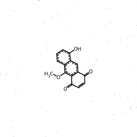 COc1c2c(cc3c(O)cccc13)C(=O)C=CC2=O